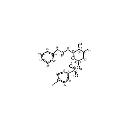 Cc1ccc(S(=O)(=O)O[C@@H]2CC(C)[C@H](C)C(COCc3ccccc3)O2)cc1